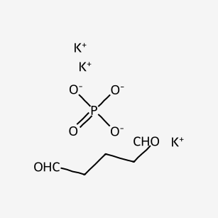 O=CCCCC=O.O=P([O-])([O-])[O-].[K+].[K+].[K+]